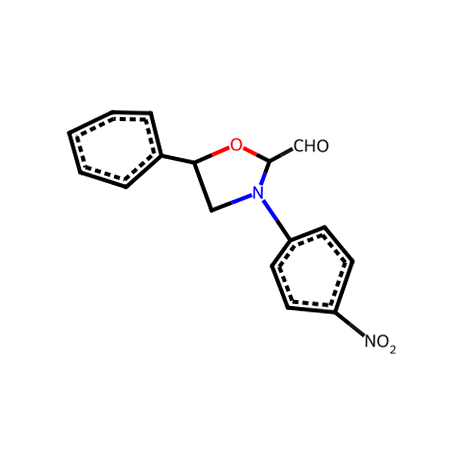 O=CC1OC(c2ccccc2)CN1c1ccc([N+](=O)[O-])cc1